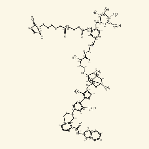 Cc1c(-c2ccc(N3CCc4cccc(C(=O)Nc5nc6ccccc6s5)c4C3)nc2C(=O)O)cnn1CC12CC3(C)CC(C)(C1)CC(OCCN(C)C(=O)OC/C=C/c1ccc(O[C@@H]4O[C@H](C(=O)O)[C@@H](O)[C@H](O)[C@H]4O)c(NC(=O)CCNC(=O)CCCCCN4C(=O)C=CC4=O)c1)(C3)C2